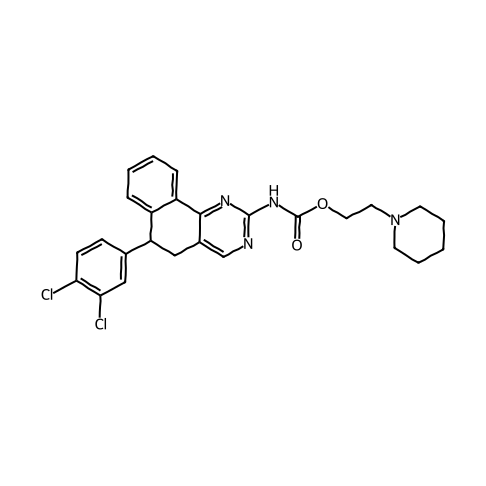 O=C(Nc1ncc2c(n1)-c1ccccc1C(c1ccc(Cl)c(Cl)c1)C2)OCCN1CCCCC1